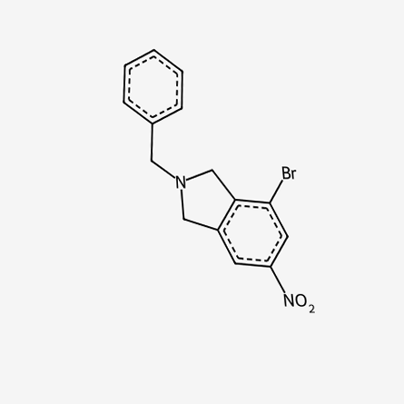 O=[N+]([O-])c1cc(Br)c2c(c1)CN(Cc1ccccc1)C2